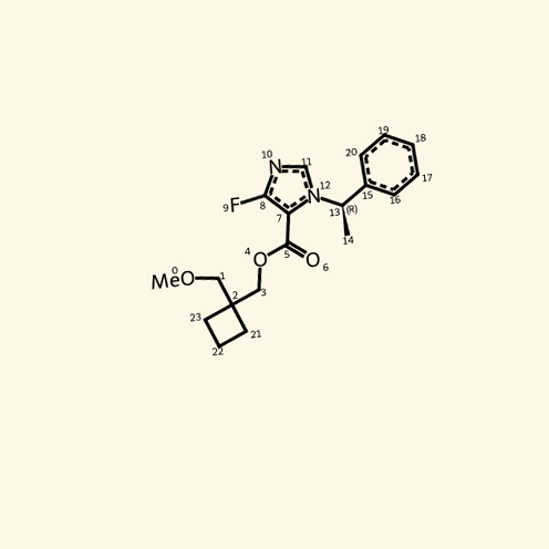 COCC1(COC(=O)c2c(F)ncn2[C@H](C)c2ccccc2)CCC1